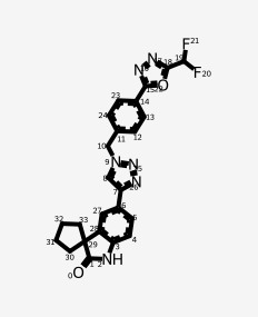 O=C1Nc2ccc(-c3cn(Cc4ccc(-c5nnc(C(F)F)o5)cc4)nn3)cc2C12CCCC2